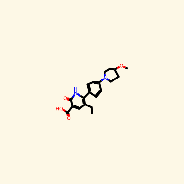 CCc1cc(C(=O)O)c(=O)[nH]c1-c1ccc(N2CCC(OC)CC2)cc1